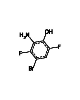 Nc1c(O)c(F)cc(Br)c1F